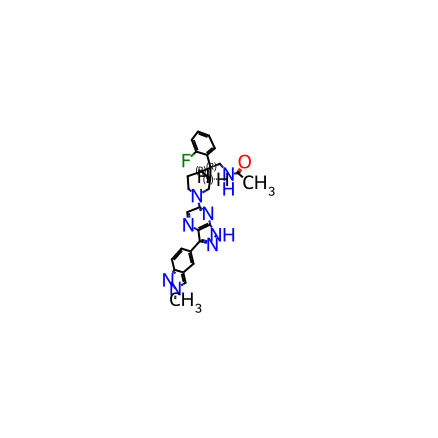 CC(=O)NC[C@]1(c2ccccc2F)[C@@H]2CCN(c3cnc4c(-c5ccc6nn(C)cc6c5)n[nH]c4n3)C[C@@H]21